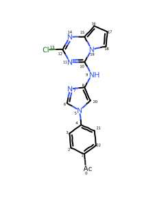 CC(=O)c1ccc(-n2cnc(Nc3nc(Cl)nc4cccn34)c2)cc1